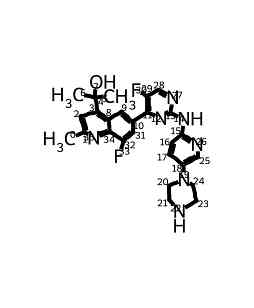 Cc1cc(C(C)(C)O)c2cc(-c3nc(Nc4ccc(N5CCNCC5)cn4)ncc3F)cc(F)c2n1